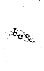 CC[C@H]1CN(c2ccnc(Nc3cnn(C(C)(C)CO)c3)n2)C(=O)[C@@]1(C#N)C1CC1.Cl